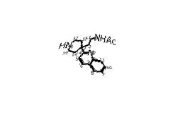 CC(=O)NCCC1(c2c[c]c3ccccc3n2)CCNCC1